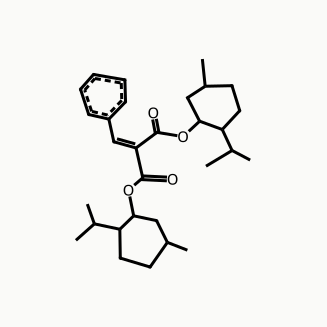 CC1CCC(C(C)C)C(OC(=O)C(=Cc2ccccc2)C(=O)OC2CC(C)CCC2C(C)C)C1